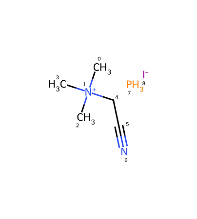 C[N+](C)(C)CC#N.P.[I-]